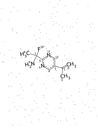 C=C(C)c1cnc(C(C)(N)F)nc1